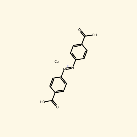 O=C(O)c1ccc(/N=N/c2ccc(C(=O)O)cc2)cc1.[Cu]